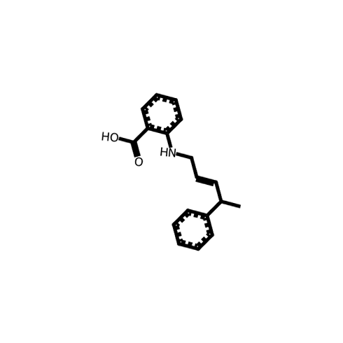 CC(/C=C/CNc1ccccc1C(=O)O)c1ccccc1